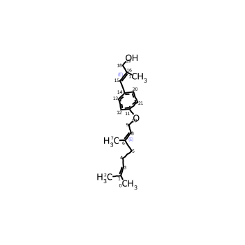 CC(C)=CCC/C(C)=C/COc1ccc(/C=C(\C)CO)cc1